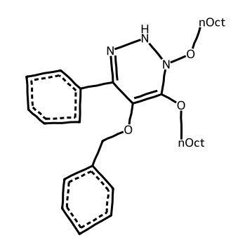 CCCCCCCCOC1=C(OCc2ccccc2)C(c2ccccc2)=NNN1OCCCCCCCC